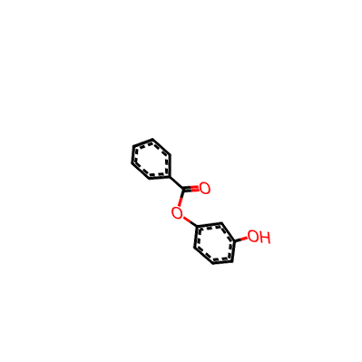 O=C(Oc1cccc(O)c1)c1ccccc1